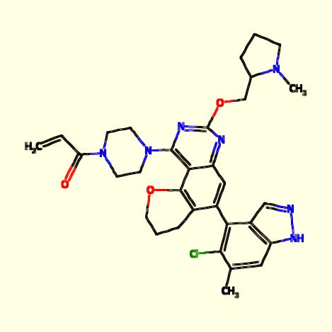 C=CC(=O)N1CCN(c2nc(OCC3CCCN3C)nc3cc(-c4c(Cl)c(C)cc5[nH]ncc45)c4c(c23)OCCC4)CC1